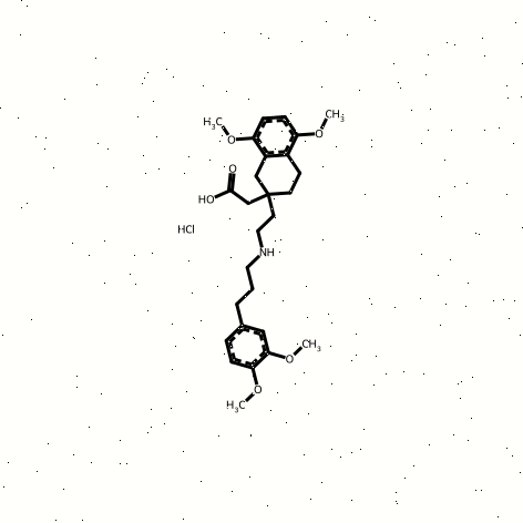 COc1ccc(CCCNCCC2(CC(=O)O)CCc3c(OC)ccc(OC)c3C2)cc1OC.Cl